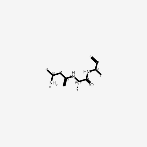 C=CC(C)NC(=O)[C@H](C)NC(=C)CC(C)N